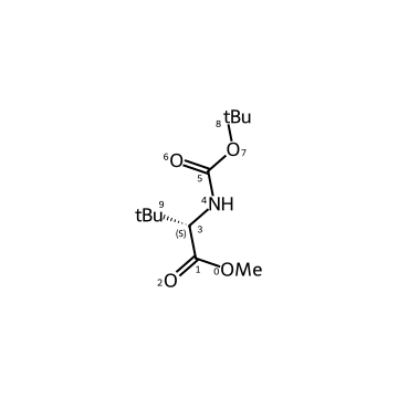 COC(=O)[C@@H](NC(=O)OC(C)(C)C)C(C)(C)C